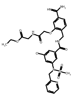 CCOC(=O)CNC(=O)COc1cc(C(=N)N)ccc1CNC(=O)c1cc(Cl)cc(N(Cc2ccccn2)S(C)(=O)=O)c1